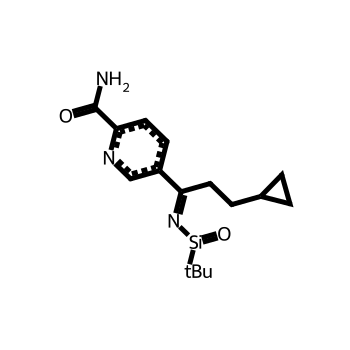 CC(C)(C)[Si](=O)/N=C(\CCC1CC1)c1ccc(C(N)=O)nc1